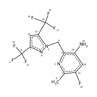 Cc1nc(Cn2nc(C(F)(F)F)cc2C(F)(F)F)c(N)cc1F